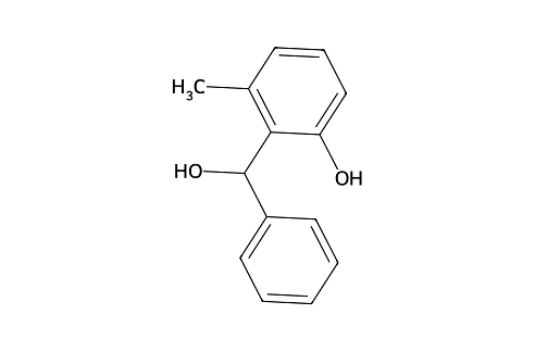 Cc1cccc(O)c1C(O)c1ccccc1